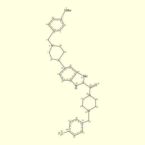 COc1ccc(CN2CCC(c3ccc4c(c3)NC(C(=O)N3CCN(Cc5ccc(C(F)(F)F)cc5)CC3)N4)CC2)cc1